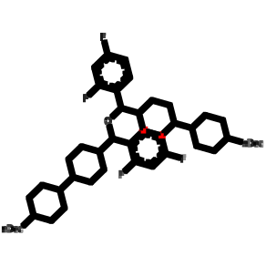 CCCCCCCCCCC1CCC(C2CCC(C(OC(c3ccc(F)cc3F)C3CCC(C4CCC(CCCCCCCCCC)CC4)CC3)c3ccc(F)cc3F)CC2)CC1